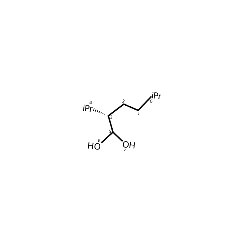 CC(C)CC[C@@H](C(C)C)C(O)O